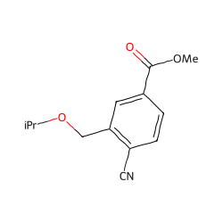 COC(=O)c1ccc(C#N)c(COC(C)C)c1